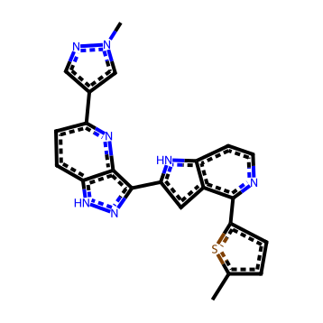 Cc1ccc(-c2nccc3[nH]c(-c4n[nH]c5ccc(-c6cnn(C)c6)nc45)cc23)s1